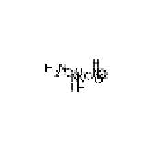 CC(C)(C)OC(=O)NC1CCC(NC(=O)NC2CCC(N)CC2)CC1